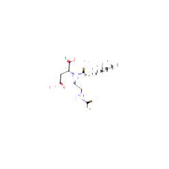 O=C([O-])CC(C(=O)[O-])N(CCNC(=S)[S-])C(=S)[S-].[Na+].[Na+].[Na+].[Na+]